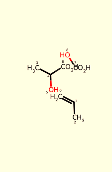 C=CC.CC(O)C(=O)O.O=C(O)O